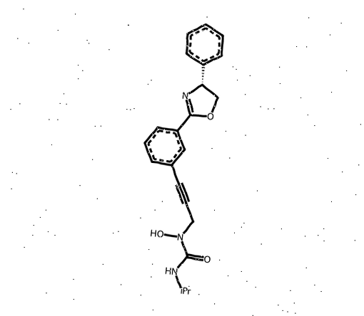 CC(C)NC(=O)N(O)CC#Cc1cccc(C2=N[C@H](c3ccccc3)CO2)c1